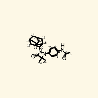 CC(=O)Nc1ccc(N2N(C3C4CC5CC(C4)CC3C5)C(=O)C2(C)C)cc1